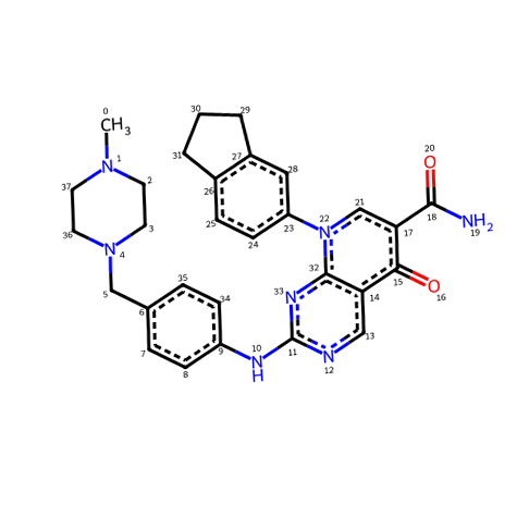 CN1CCN(Cc2ccc(Nc3ncc4c(=O)c(C(N)=O)cn(-c5ccc6c(c5)CCC6)c4n3)cc2)CC1